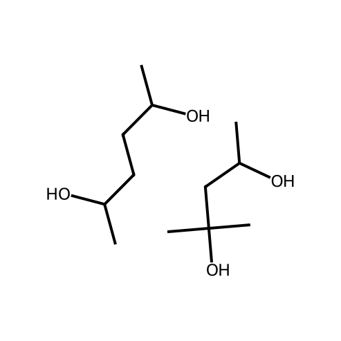 CC(O)CC(C)(C)O.CC(O)CCC(C)O